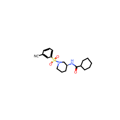 N#Cc1cccc(S(=O)(=O)N2CCC[C@H](NC(=O)C3CCCCC3)C2)c1